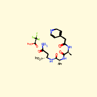 CCC[C@@H](NC(=O)[C@H](C)NC(=O)Cc1ccncc1)C(=O)N[C@@H](CC(N)=O)C(=O)O.O=C(O)C(F)(F)F